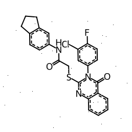 O=C(CSc1nc2ccccc2c(=O)n1-c1ccc(F)c(Cl)c1)Nc1ccc2c(c1)CCC2